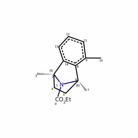 CCOC(=O)N1[C@@]2(C)CC[C@]1(C)c1c(C)cccc12